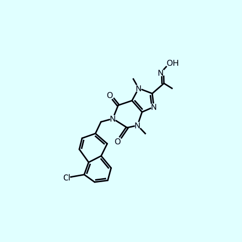 C/C(=N\O)c1nc2c(c(=O)n(Cc3ccc4c(Cl)cccc4c3)c(=O)n2C)n1C